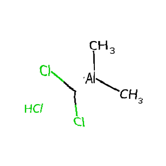 Cl.ClCCl.[CH3][Al][CH3]